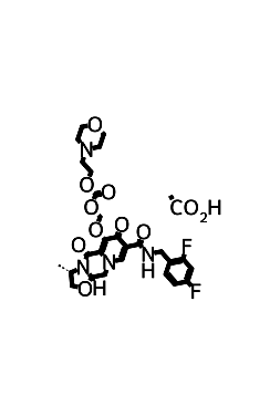 CC(=O)O.C[C@H]1CO[C@@H]2Cn3cc(C(=O)NCc4ccc(F)cc4F)c(=O)c(OCOC(=O)OCCN4CCOCC4)c3C(=O)N12